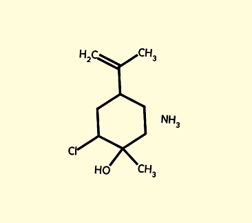 C=C(C)C1CCC(C)(O)C(Cl)C1.N